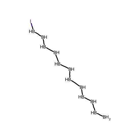 BBBBBBBBBBBBI